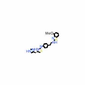 COc1cccc2sc(NCCc3ccc(/N=C4/N[C@@H](Cc5c[nH]cn5)CS4)cc3)nc12